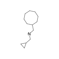 C1CCCC(C[N]CC2CC2)CCC1